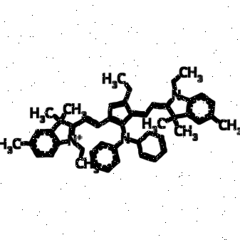 CCC1=CC(/C=C/C2=[N+](CC)c3ccc(C)cc3C2(C)C)=C(N(c2ccccc2)C2C=CC=CC2)C/1=C/C=C1/N(CC)c2ccc(C)cc2C1(C)C